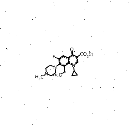 CCOC(=O)c1cn(C2CC2)c2c(COC(C)=O)c(N3CCN(C)CC3)c(F)cc2c1=O